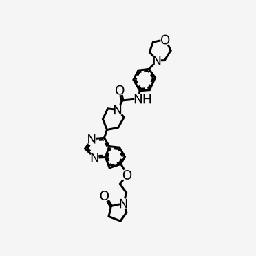 O=C1CCCN1CCOc1ccc2c(C3CCN(C(=O)Nc4ccc(N5CCOCC5)cc4)CC3)ncnc2c1